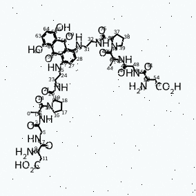 C[C@H](NC(=O)CNC(=O)[C@@H](N)CC(=O)O)C(=O)N1CCC[C@H]1C(=O)NCCNc1ccc(NCCNC(=O)[C@@H]2CCCN2C(=O)[C@H](C)NC(=O)CNC(=O)[C@@H](N)CC(=O)O)c2c1C(=O)c1c(O)ccc(O)c1C2=O